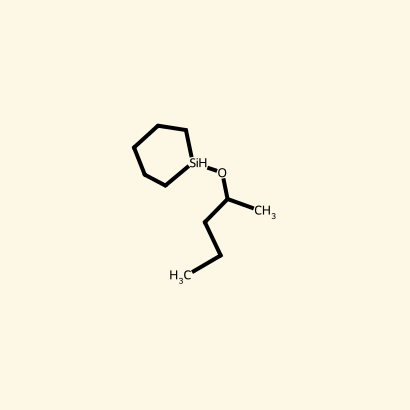 CCCC(C)O[SiH]1CCCCC1